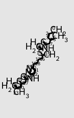 C=C/C=C\C(=C/C)CC(=C)NC(=C)SC(=C)CCCCc1ccc(NC(=O)C/C(C)=C/C(=C)C)nn1